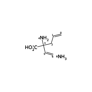 C=CCC(N)(C=C)C(=O)O.N